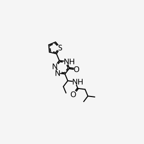 CCC(NC(=O)CC(C)C)c1nnc(-c2cccs2)[nH]c1=O